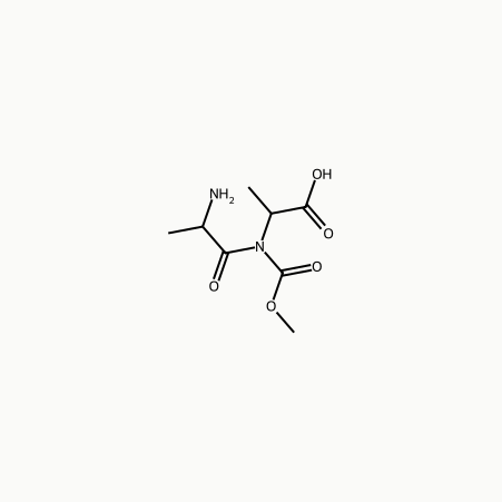 COC(=O)N(C(=O)C(C)N)C(C)C(=O)O